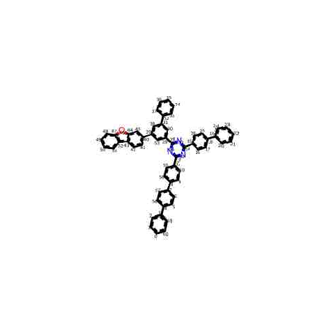 c1ccc(-c2ccc(-c3ccc(-c4nc(-c5ccc(-c6ccccc6)cc5)nc(-c5cc(-c6ccccc6)cc(-c6ccc7c(c6)oc6ccccc67)c5)n4)cc3)cc2)cc1